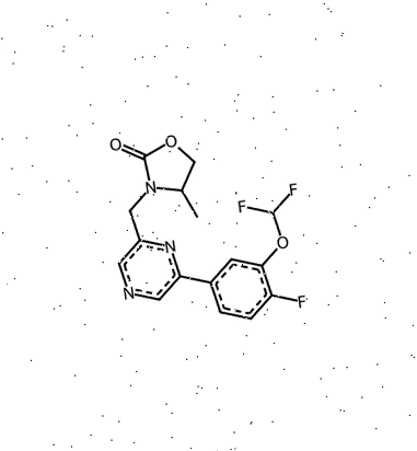 CC1COC(=O)N1Cc1cncc(-c2ccc(F)c(OC(F)F)c2)n1